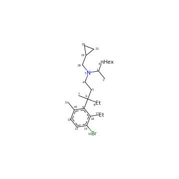 CCCCCCC(C)N(CCC(C)(CC)c1c(C)ccc(Br)c1CC)CC1CC1